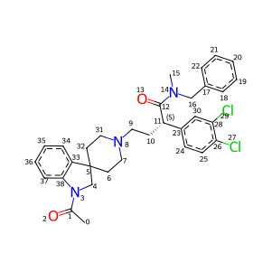 CC(=O)N1CC2(CCN(CC[C@H](C(=O)N(C)Cc3ccccc3)c3ccc(Cl)c(Cl)c3)CC2)c2ccccc21